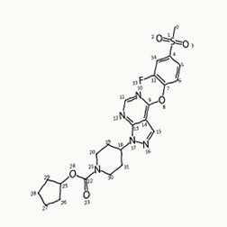 CS(=O)(=O)c1ccc(Oc2ncnc3c2cnn3C2CCN(C(=O)OC3CCCC3)CC2)c(F)c1